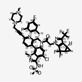 CN1CCN(CC#Cc2ccc(-c3ccc(Cl)c4c(NS(C)(=O)=O)nn(C)c34)c([C@H](Cc3cc(F)cc(F)c3)NC(=O)Cn3nc(C(F)(F)F)c4c3C(F)(F)C3C[C@H]43)n2)CC1